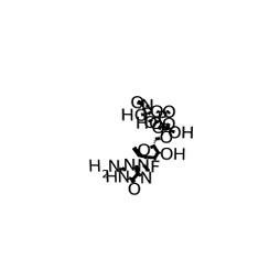 C=C[C@@]1(n2cnc3c(=O)[nH]c(N)nc32)O[C@H](COP(=O)(O)OP(=O)(O)OP(=O)(O)N=O)[C@@H](O)[C@H]1F